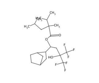 CC(C)CC(C)(C(=O)OC(CC(O)(C(F)(F)F)C(F)(F)F)C1CC2CCC1C2)C(C)C